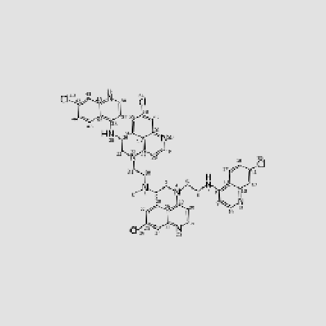 CN(CCN(CCNc1ccnc2cc(Cl)ccc12)c1ccnc2cc(Cl)ccc12)CCN(CCNc1ccnc2cc(Cl)ccc12)c1ccnc2cc(Cl)ccc12